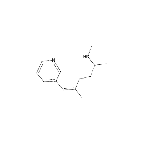 CNC(C)CC/C(C)=C\c1cccnc1